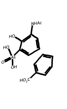 CC(=O)Nc1cccc([As](=O)(O)O)c1O.O=C(O)c1ccccc1